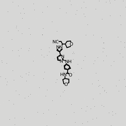 N#CCC(C1CCOCC1)n1cc(-c2ccnc(Nc3ccc(C(=O)NC4CCOCC4)cc3)n2)cn1